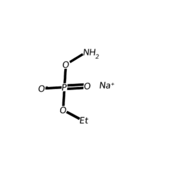 CCOP(=O)([O-])ON.[Na+]